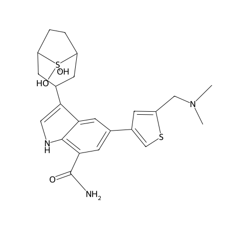 CN(C)Cc1cc(-c2cc(C(N)=O)c3[nH]cc(C4CC5CCC(C4)S5(O)O)c3c2)cs1